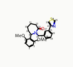 COc1cccc(OC)c1C1CCCCC(=O)N1Cc1cccc(-c2cscn2)c1